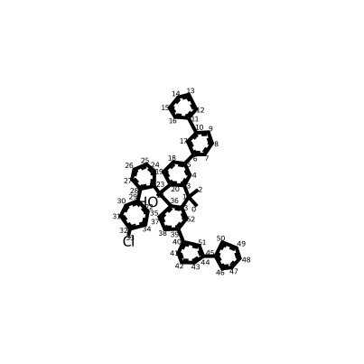 CC1(C)c2cc(-c3cccc(-c4ccccc4)c3)ccc2C(O)(c2ccccc2-c2ccc(Cl)cc2)c2ccc(-c3cccc(-c4ccccc4)c3)cc21